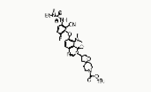 CCN(C)S(=O)(=O)Nc1ccc(F)c(Oc2ccc3ncn(C4COC5(CCN(C(=O)OC(C)(C)C)CC5)C4)c(=O)c3c2N(C)C)c1C#N